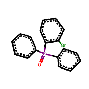 O=P(c1ccccc1)(c1ccccc1)c1ccccc1Br